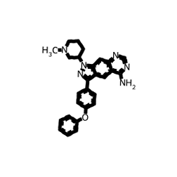 CN1CCCC(n2nc(-c3ccc(Oc4ccccc4)cc3)c3cc4c(N)ncnc4cc32)C1